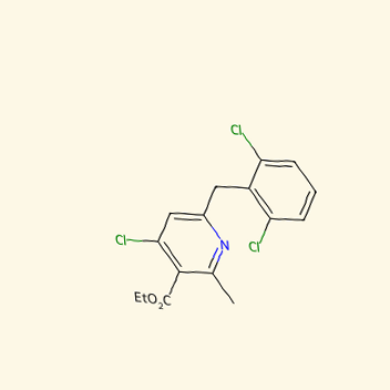 CCOC(=O)c1c(Cl)cc(Cc2c(Cl)cccc2Cl)nc1C